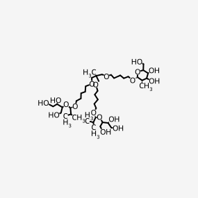 CC(C)[C@H](OCCCCCOCC(C)(COCCCCCO[C@H](OC(CO)[C@H](O)CO)C(C)C)COCCCCCO[C@@H]1OC(CO)[C@H](O)C(O)[C@@H]1C)OC(CO)[C@H](O)CO